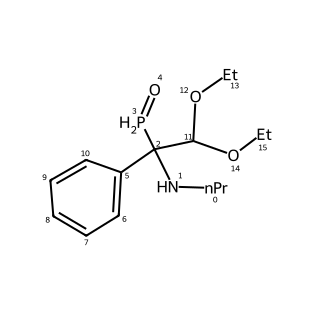 CCCNC([PH2]=O)(c1ccccc1)C(OCC)OCC